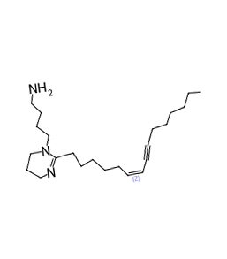 CCCCCCC#C/C=C\CCCCCC1=NCCCN1CCCCN